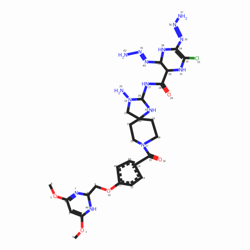 COC1=CC(OC)=NC(COc2ccc(C(=O)N3CCC4(CC3)CN(N)C(NC(=O)C3NC(Cl)=C(N=NN)NC3N=NN)N4)cc2)N1